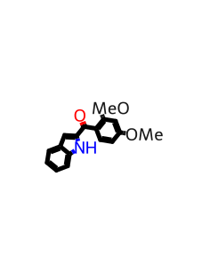 COc1ccc(C(=O)c2cc3ccccc3[nH]2)c(OC)c1